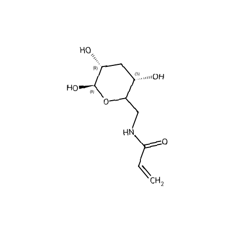 C=CC(=O)NCC1O[C@@H](O)[C@H](O)C[C@@H]1O